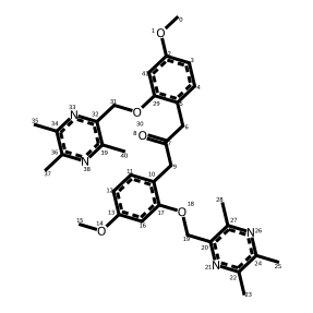 COc1ccc(CC(=O)Cc2ccc(OC)cc2OCc2nc(C)c(C)nc2C)c(OCc2nc(C)c(C)nc2C)c1